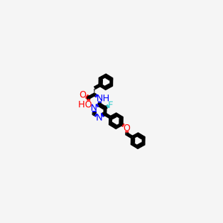 O=C(O)[C@H](Cc1ccccc1)Nc1ncnc(-c2ccc(OCc3ccccc3)cc2)c1F